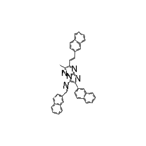 Cc1nn2c(/N=C/c3ccc4ccccc4c3)c(-c3ccc4ccccc4c3)nc2nc1/C=C/c1ccc2ccccc2c1